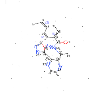 C\C=C/C=C\C(=C/C)C(=O)NC(C)c1nccnc1-c1nnco1